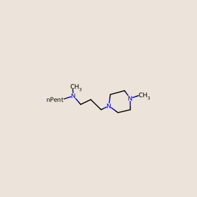 CCCCCN(C)CCCN1CCN(C)CC1